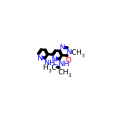 CC(C)Nc1nc(-c2cccnc2N)cc2ncn(C)c(=O)c12